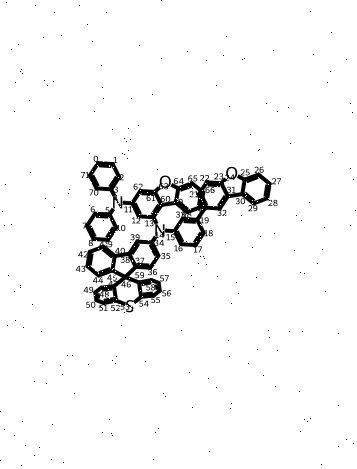 c1ccc(N(c2ccccc2)c2cc(N(c3cccc(-c4ccc5oc6ccccc6c5c4)c3)c3ccc4c(c3)-c3ccccc3C43c4ccccc4Sc4ccccc43)c3c(c2)oc2ccccc23)cc1